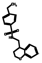 CCc1ccc(S(=O)(=O)NCC2CCOc3c[c]ccc32)cc1